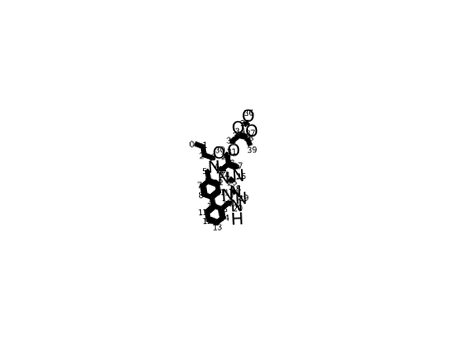 CCCCN(Cc1ccc(-c2ccccc2-c2nnn[nH]2)cc1)c1ncncc1C(=O)OCc1oc(=O)oc1C